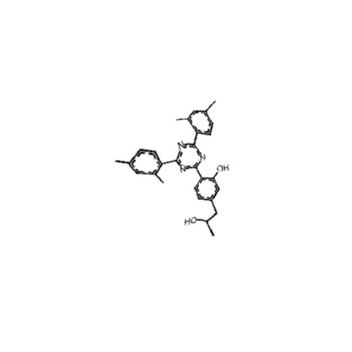 Cc1ccc(-c2nc(-c3ccc(C)cc3C)nc(-c3ccc(CC(C)O)cc3O)n2)c(C)c1